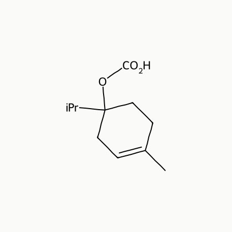 CC1=CCC(OC(=O)O)(C(C)C)CC1